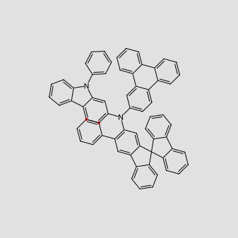 c1ccc(-c2cc3c(cc2N(c2ccc4c5ccccc5c5ccccc5c4c2)c2ccc4c5ccccc5n(-c5ccccc5)c4c2)C2(c4ccccc4-c4ccccc42)c2ccccc2-3)cc1